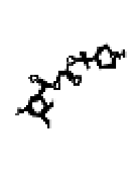 CC(C)(OC(=O)COC(=O)c1cc(I)cc(I)c1I)C1CCNCC1